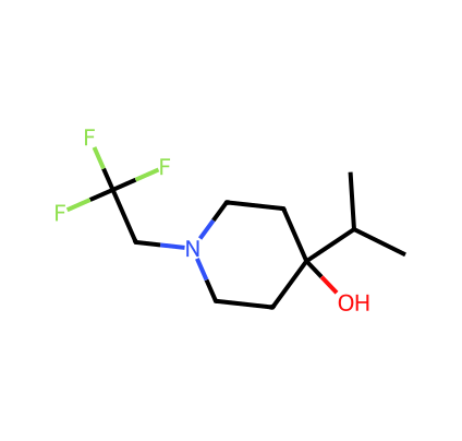 CC(C)C1(O)CCN(CC(F)(F)F)CC1